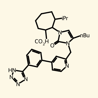 CCCCc1cn(C2C(C(=O)O)CCCCC2C(C)C)c(=O)n1Cc1cc(-c2cccc(-c3nnn[nH]3)c2)ccn1